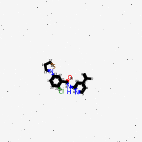 C=C(C)c1ccnc(NC(=O)c2cc(N3CCCS3)ccc2Cl)c1